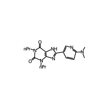 CCCn1c(=O)c2[nH]c(-c3ccc(N(C)C)nc3)nc2n(CCC)c1=O